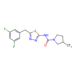 O=C(Nc1nnc(Cc2cc(F)cc(F)c2)s1)N1CCC(C(F)(F)F)C1